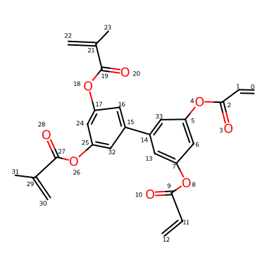 C=CC(=O)Oc1cc(OC(=O)C=C)cc(-c2cc(OC(=O)C(=C)C)cc(OC(=O)C(=C)C)c2)c1